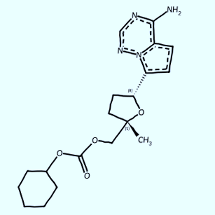 C[C@@]1(COC(=O)OC2CCCCC2)CC[C@H](c2ccc3c(N)ncnn23)O1